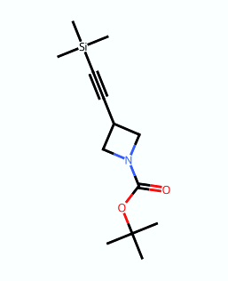 CC(C)(C)OC(=O)N1CC(C#C[Si](C)(C)C)C1